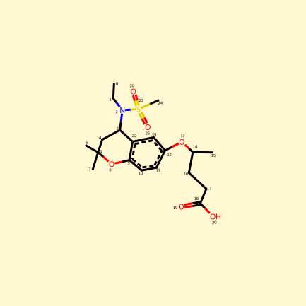 CCN(C1CC(C)(C)Oc2ccc(OC(C)CCC(=O)O)cc21)S(C)(=O)=O